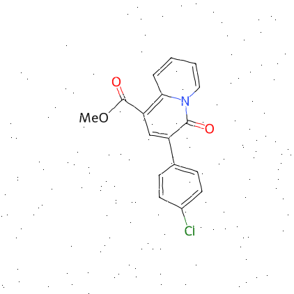 COC(=O)c1cc(-c2ccc(Cl)cc2)c(=O)n2ccccc12